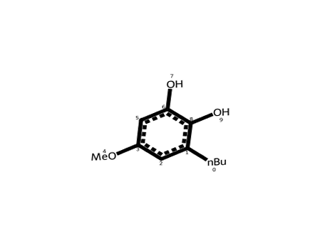 CCCCc1cc(OC)cc(O)c1O